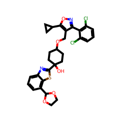 OC1(c2nc3cccc(C4OCCO4)c3s2)CCC(OCc2c(-c3c(Cl)cccc3Cl)noc2C2CC2)CC1